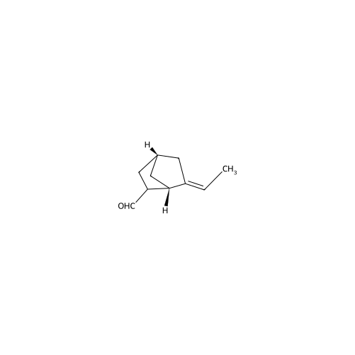 CC=C1C[C@H]2CC(C=O)[C@@H]1C2